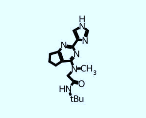 CN(CC(=O)NC(C)(C)C)c1nc(-c2c[nH]cn2)nc2c1CCC2